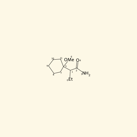 CCC(C(N)=O)C1(OC)CCCCC1